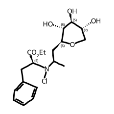 CCOC(=O)[C@H](Cc1ccccc1)N(Cl)C(C)C[C@@H]1OC[C@@H](O)[C@H](O)[C@H]1O